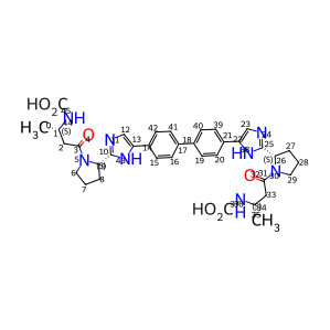 C[C@@H](CC(=O)N1CCC[C@H]1c1ncc(-c2ccc(-c3ccc(-c4cnc([C@@H]5CCCN5C(=O)C[C@H](C)NC(=O)O)[nH]4)cc3)cc2)[nH]1)NC(=O)O